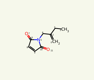 C=C(CC)CN1C(=O)C=CC1=O